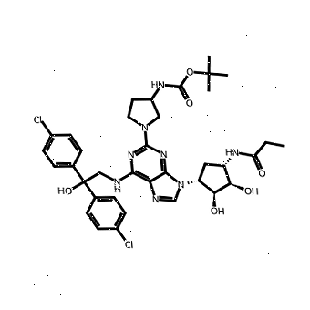 CCC(=O)N[C@H]1C[C@@H](n2cnc3c(NCC(O)(c4ccc(Cl)cc4)c4ccc(Cl)cc4)nc(N4CCC(NC(=O)OC(C)(C)C)C4)nc32)[C@H](O)[C@@H]1O